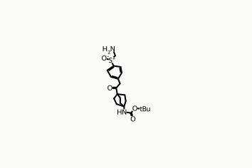 CC(C)(C)OC(=O)NC12CCC(C(=O)Cc3ccc([S+]([O-])CN)cc3)(CC1)CC2